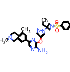 Cc1cc(-c2cnc(N)c(Oc3cnn(C4(CC#N)CN(S(=O)(=O)c5ccccc5)C4)c3)n2)cc2c1CCN(C)C2